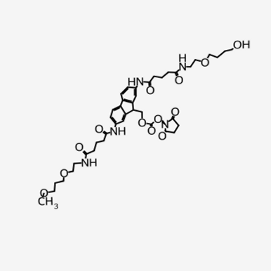 COCCCOCCNC(=O)CCCC(=O)Nc1ccc2c(c1)C(COC(=O)ON1C(=O)CCC1=O)c1cc(NC(=O)CCCC(=O)NCCOCCCCO)ccc1-2